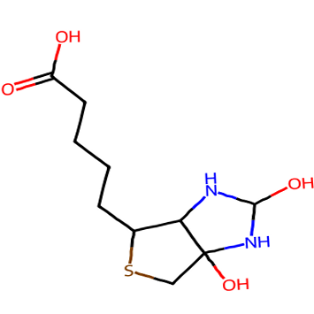 O=C(O)CCCCC1SCC2(O)NC(O)NC12